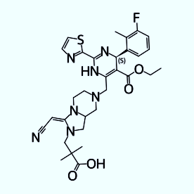 CCOC(=O)C1=C(CN2CCN3C(=CC#N)N(CC(C)(C)C(=O)O)CC3C2)NC(c2nccs2)=N[C@H]1c1cccc(F)c1C